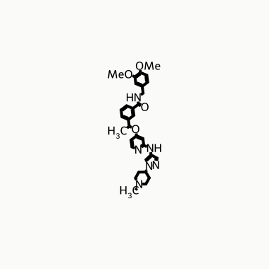 COc1ccc(CNC(=O)c2cccc(C(C)Oc3ccnc(Nc4cnn(C5CCN(C)CC5)c4)c3)c2)cc1OC